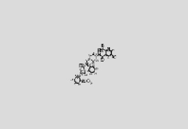 O=C(N[C@H]1CC[C@H](CN2C(=O)C3(CN(c4ncccc4[N+](=O)[O-])C3)c3ccccc32)CC1)c1cc(Cl)cnc1C(F)F